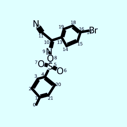 Cc1ccc(S(=O)(=O)O/N=C(/C#N)c2ccc(Br)cc2)cc1